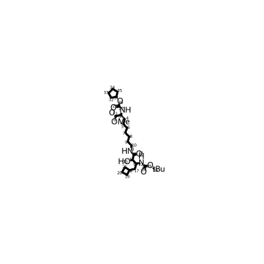 COC(=O)[C@H](CCCCCCCNC(=O)C(O)C(CC1CCC1)NC(=O)OC(C)(C)C)NC(=O)OC1CCCC1